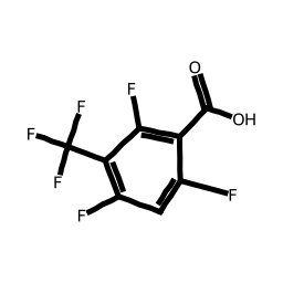 O=C(O)c1c(F)cc(F)c(C(F)(F)F)c1F